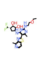 CCOCCNc1nc(C)c(-c2nc3c(C)nccc3s2)c(N[C@@H]2C[C@H](C(F)F)[C@@H](O)[C@H]2O)n1